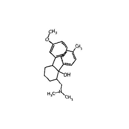 COc1cccc(C2CCCC(CN(C)C)C2(O)c2ccc(C)cc2)c1